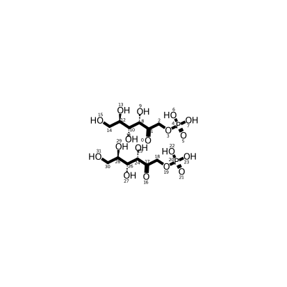 O=C(COP(=O)(O)O)[C@@H](O)[C@H](O)[C@H](O)CO.O=C(COP(=O)(O)O)[C@@H](O)[C@H](O)[C@H](O)CO